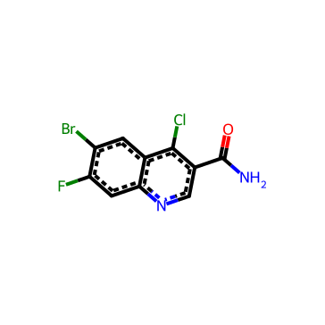 NC(=O)c1cnc2cc(F)c(Br)cc2c1Cl